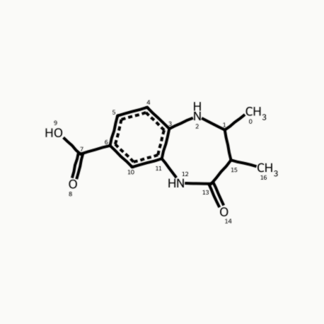 CC1Nc2ccc(C(=O)O)cc2NC(=O)C1C